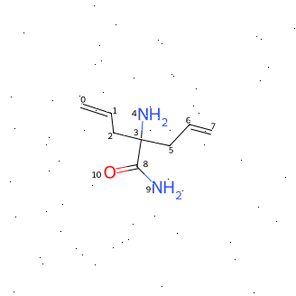 C=CCC(N)(CC=C)C(N)=O